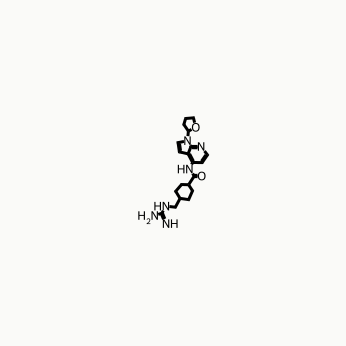 N=C(N)NCC1CCC(C(=O)Nc2ccnc3c2ccn3C2CCCO2)CC1